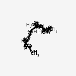 CNCCNC(=O)c1cccc(OCC(N=[N+]=[N-])OCCOCC(=O)NCC#Cc2cn([C@H]3CC[C@@H](COP(=O)(O)OP(=O)(O)OP(C)(=O)O)O3)c3ncnc(N)c23)c1